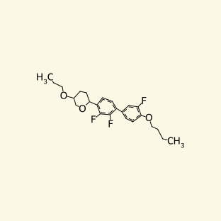 CCCCOc1ccc(-c2ccc(C3CCC(OCCC)CO3)c(F)c2F)cc1F